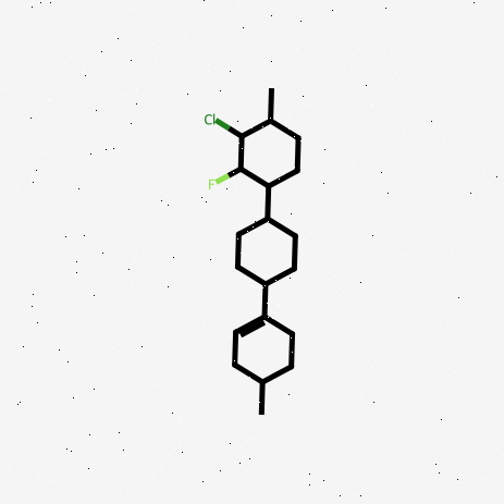 CC1CC=C(C2CCC(C3CCC(C)C(Cl)C3F)CC2)CC1